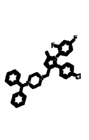 Cc1cc(CN2CCN(C(c3ccccc3)c3ccccc3)CC2)c(-c2ccc(Cl)cc2)n1-c1ccc(F)cc1F